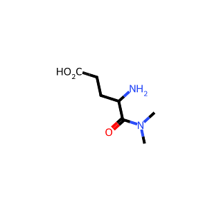 CN(C)C(=O)C(N)CCC(=O)O